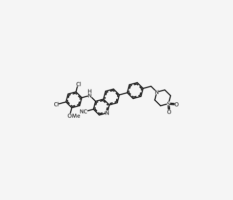 COc1cc(Nc2c(C#N)cnc3cc(-c4ccc(CN5CCS(=O)(=O)CC5)cc4)ccc23)c(Cl)cc1Cl